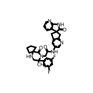 CC1(c2cc(F)cc(F)c2)CNC2(CCCC2)C(=O)N1CC(=O)Nc1cnc2c(c1)CC1(C2)C(=O)Nc2ncccc21